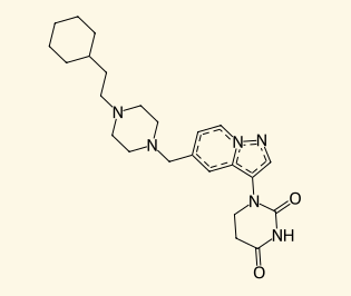 O=C1CCN(c2cnn3ccc(CN4CCN(CCC5CCCCC5)CC4)cc23)C(=O)N1